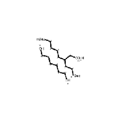 CCCCCCCCCCCCCCC(CCCCCCCCCCCC)CC(=O)O.OCCCCCCO